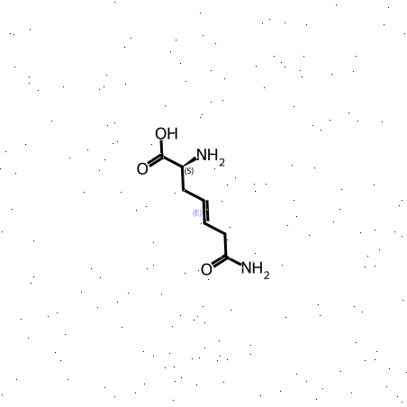 NC(=O)C/C=C/C[C@H](N)C(=O)O